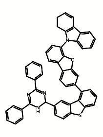 C1=Cc2c(n(-c3cccc4c3oc3cc(-c5cccc6sc7ccc(C8N=C(c9ccccc9)N=C(c9ccccc9)N8)cc7c56)ccc34)c3ccccc23)CC1